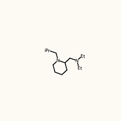 CCN(CC)CC1CCCCN1CC(C)C